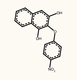 O=[N+]([O-])c1ccc(Oc2c(O)cc3ccccc3c2O)cc1